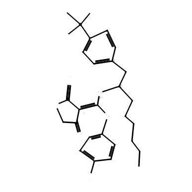 CCCCCCC(Cc1ccc(C(C)(C)C)cc1)NC(Nc1ccc(Cl)cc1)=C1C(=O)COC1=O